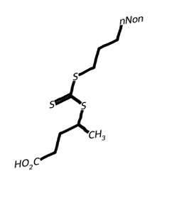 CCCCCCCCCCCCSC(=S)SC(C)CCC(=O)O